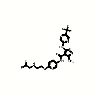 Cc1nsc(Nc2cnc(C(F)(F)F)cn2)c1C(=O)Nc1ccc(OCCNCC(F)F)nc1